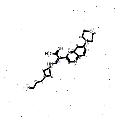 CC(=N)/C(=C\NC1CC(CCCN)C1)c1cnc2ccc(N3CCOCC3)cc2n1